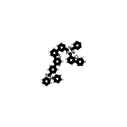 c1ccc(-c2nc(-c3cccc(-c4cccc5c4sc4ccc(-c6ccc(-c7nc8ccccc8n7-c7ccccc7)cc6)cc45)c3)nc(-c3cccc4c3oc3ccccc34)n2)cc1